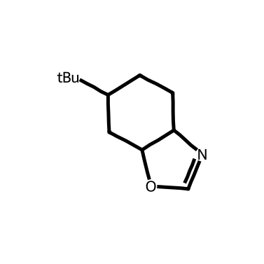 CC(C)(C)C1CCC2N=COC2C1